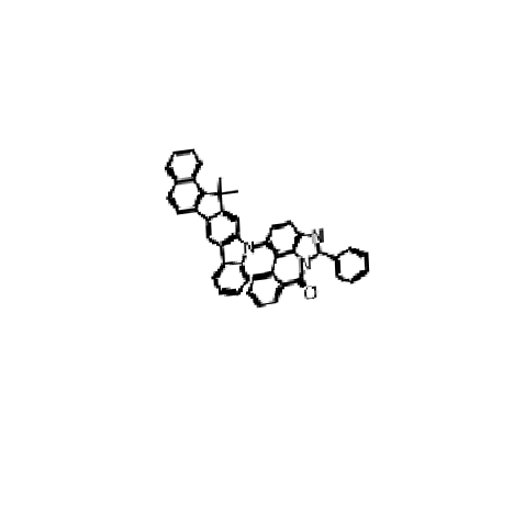 CC1(C)c2cc3c(cc2-c2ccc4ccccc4c21)c1ccccc1n3-c1ccc2nc(-c3ccccc3)n3c(=O)c4ccccc4c1c23